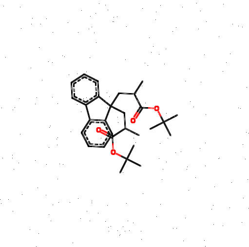 CC(CC1(CC(C)C(=O)OC(C)(C)C)c2ccccc2-c2ccccc21)C(=O)OC(C)(C)C